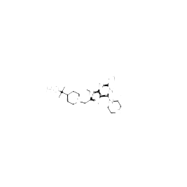 C[C@H]1COCCN1c1nc(Cl)nc2c1nc(CN1CCC(C(C)(C)O)CC1)n2C